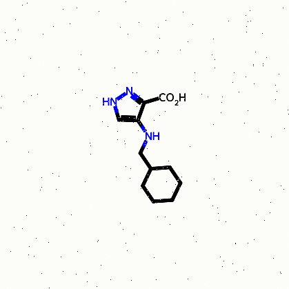 O=C(O)c1n[nH]cc1NCC1CCCCC1